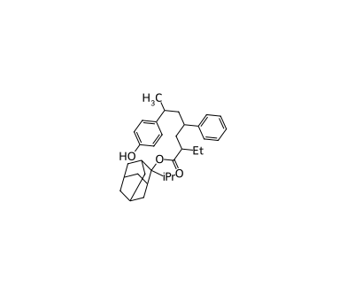 CCC(CC(CC(C)c1ccc(O)cc1)c1ccccc1)C(=O)OC1(C(C)C)C2CC3CC(C2)CC1C3